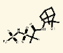 CC1(C)C2CC(NC(=O)C(F)(F)S(=O)(=O)NS(=O)(=O)C(F)(F)F)C(C)(O)C1C2